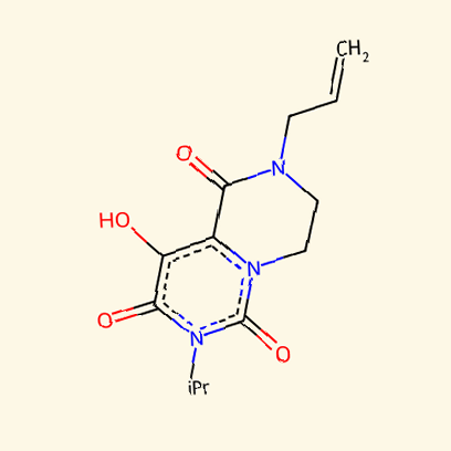 C=CCN1CCn2c(c(O)c(=O)n(C(C)C)c2=O)C1=O